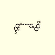 O=c1ccc2ccc(OCCCCN3CCN(c4cccc5c4CC(O)CC5)CC3)nc2[nH]1